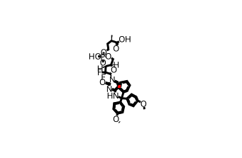 COc1ccc(C(Nc2ccn([C@@H]3O[C@@H]4CO[P](O)(OCC[C@@H](C)C(=O)O)O[C@H]4C3(F)F)c(=O)n2)(c2ccccc2)c2ccc(OC)cc2)cc1